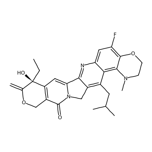 C=C1OCc2c(cc3n(c2=O)Cc2c-3nc3cc(F)c4c(c3c2CC(C)C)N(C)CCO4)[C@@]1(O)CC